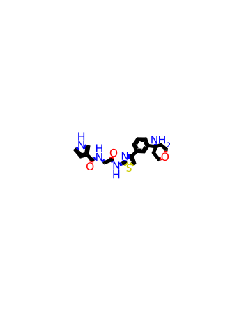 NC1(c2cccc(-c3csc(NC(=O)CNC(=O)c4cc[nH]c4)n3)c2)CCOCC1